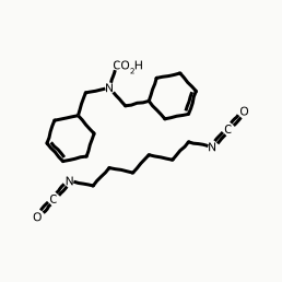 O=C(O)N(CC1CC=CCC1)CC1CC=CCC1.O=C=NCCCCCCN=C=O